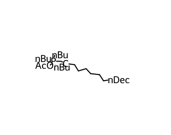 CCCCCCCCCCCCCCCCCCP(CCCC)(CCCC)(CCCC)OC(C)=O